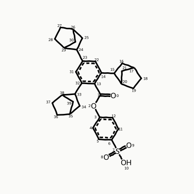 O=C(Oc1ccc(S(=O)(=O)O)cc1)c1c(C2CC3CCC2C3)cc(C2CC3CCC2C3)cc1C1CC2CCC1C2